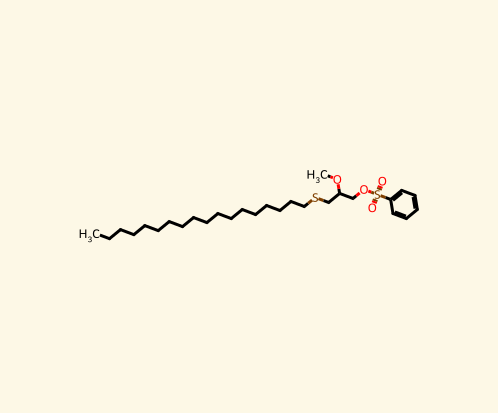 CCCCCCCCCCCCCCCCCCSCC(COS(=O)(=O)c1ccccc1)OC